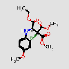 CCOC(=O)[C@H](Nc1ccc(OC)cc1)C(Br)(C(=O)OC)C(=O)OC